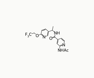 CC(=O)Nc1cc(C(=O)NC(C)c2ccc(OCC(F)(F)F)nc2)ccn1